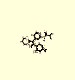 CC(C)C(=O)Nc1cc(-c2c(-c3ccc(F)cc3F)nn3c2OCCC3)ccn1